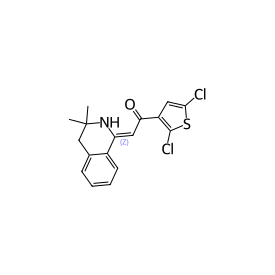 CC1(C)Cc2ccccc2/C(=C/C(=O)c2cc(Cl)sc2Cl)N1